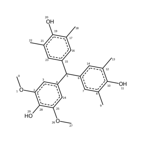 COc1cc(C(c2cc(C)c(O)c(C)c2)c2cc(C)c(O)c(C)c2)cc(OC)c1O